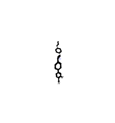 CCC[C@H]1CC[C@H](/C=C/C2CCC(c3ccc(C#N)c(F)c3)CC2)CC1